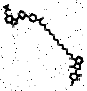 CC1(Oc2ccc3[nH]nc(-c4cc(N5CCN(C(=O)CCOCCOCCOCCOCCNc6cccc7c6C(=O)N(C6CCC(=O)NC6=O)C7)CC5)ncn4)c3c2)CC1